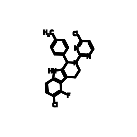 Cc1ccc(C2c3[nH]c4ccc(Cl)c(F)c4c3CCN2c2nccc(Cl)n2)cc1